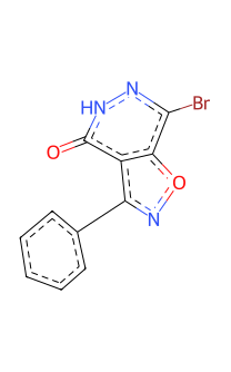 O=c1[nH]nc(Br)c2onc(-c3ccccc3)c12